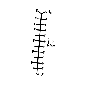 CC(F)C(F)(F)C(F)(F)C(F)(F)C(F)(F)C(F)(F)C(F)(F)C(F)(F)C(F)(F)C(F)(F)C(F)(F)S(=O)(=O)O.CNC